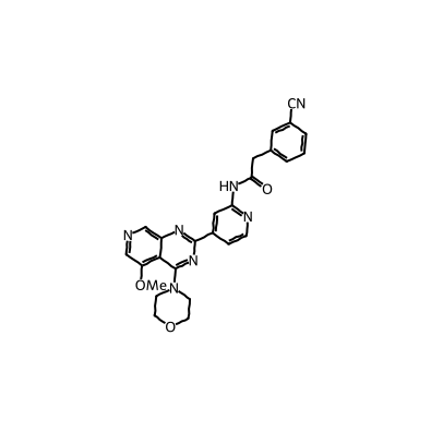 COc1cncc2nc(-c3ccnc(NC(=O)Cc4cccc(C#N)c4)c3)nc(N3CCOCC3)c12